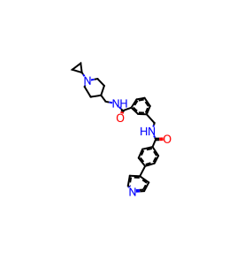 O=C(NCc1cccc(C(=O)NCC2CCN(C3CC3)CC2)c1)c1ccc(-c2ccncc2)cc1